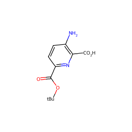 CC(C)(C)OC(=O)c1ccc(N)c(C(=O)O)n1